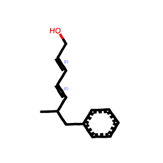 CC(/C=C/C=C/CO)Cc1ccccc1